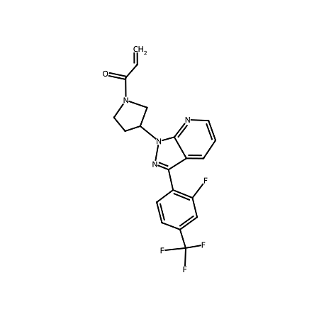 C=CC(=O)N1CCC(n2nc(-c3ccc(C(F)(F)F)cc3F)c3cccnc32)C1